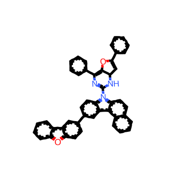 C1=C(c2ccccc2)OC2=C(c3ccccc3)N=C(n3c4ccc(-c5ccc6oc7ccccc7c6c5)cc4c4c5ccccc5ccc43)NC12